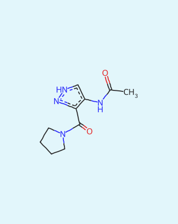 CC(=O)Nc1c[nH]nc1C(=O)N1CCCC1